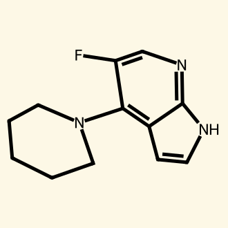 Fc1cnc2[nH]ccc2c1N1CCCCC1